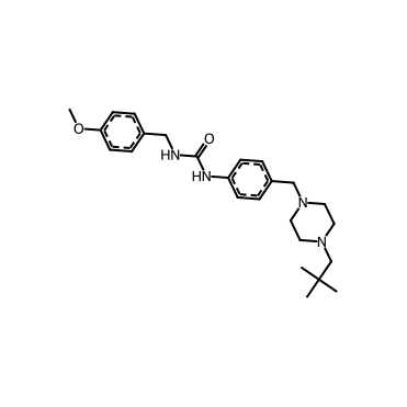 COc1ccc(CNC(=O)Nc2ccc(CN3CCN(CC(C)(C)C)CC3)cc2)cc1